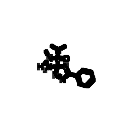 CN(C)P(=O)(N(C)C)C1(N)N=NC(c2ccccc2)=N1